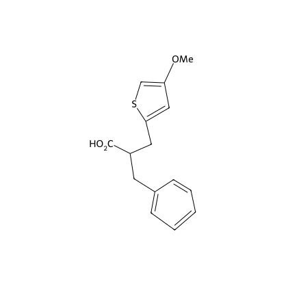 COc1csc(CC(Cc2ccccc2)C(=O)O)c1